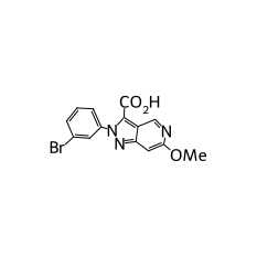 COc1cc2nn(-c3cccc(Br)c3)c(C(=O)O)c2cn1